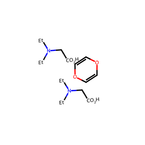 C1=COC=CO1.CCN(CC)CC(=O)O.CCN(CC)CC(=O)O